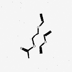 C=COC=C.C=COCCOC(C)=O